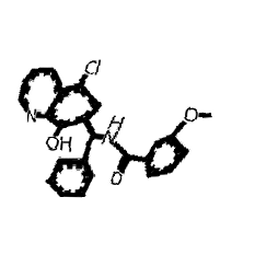 COc1cccc(C(=O)NC(c2ccccc2)c2cc(Cl)c3cccnc3c2O)c1